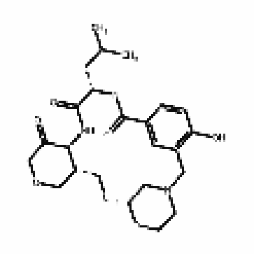 CC[C@@H]1COCC(=O)[C@H]1NC(=O)[C@H](CC(C)C)NC(=O)c1ccc(O)c(CN2CCOCC2)c1